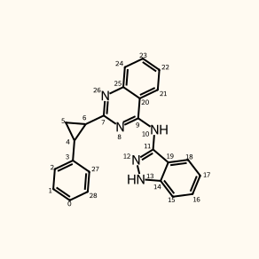 c1ccc(C2CC2c2nc(Nc3n[nH]c4ccccc34)c3ccccc3n2)cc1